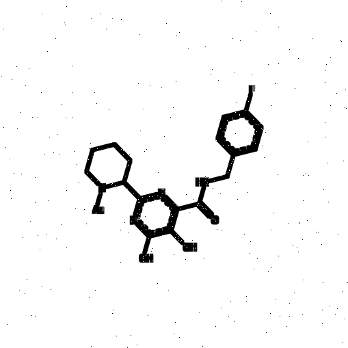 CC(=O)N1CCCCC1c1nc(O)c(O)c(C(=O)NCc2ccc(F)cc2)n1